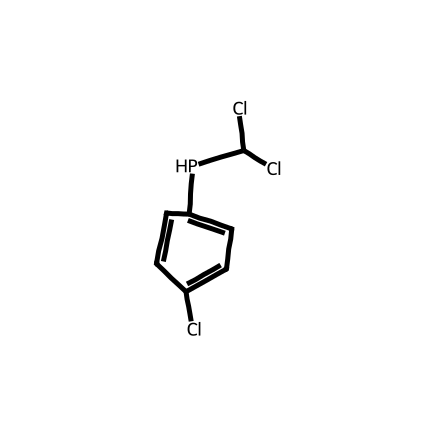 Clc1ccc(PC(Cl)Cl)cc1